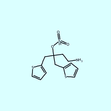 NCCC(Cc1cccs1)(Cc1cccs1)O[SH](=O)=O